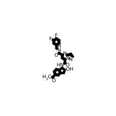 CC(=O)c1ccc2c(c1)C[C@@H](O)[C@@H]2NC(=O)c1cc(C(=O)NCc2ccc(F)c(F)c2)nc2ccnn12